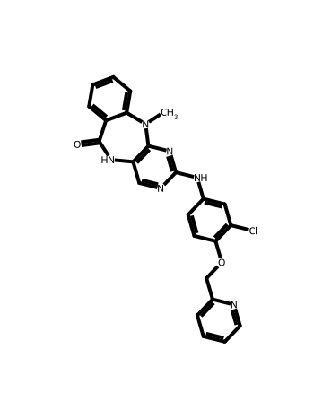 CN1c2ccccc2C(=O)Nc2cnc(Nc3ccc(OCc4ccccn4)c(Cl)c3)nc21